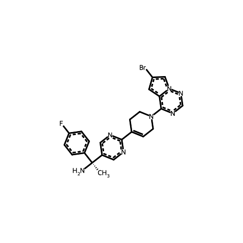 C[C@](N)(c1ccc(F)cc1)c1cnc(C2=CCN(c3ncnn4cc(Br)cc34)CC2)nc1